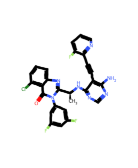 C[C@H](Nc1ncnc(N)c1C#Cc1ncccc1F)c1nc2cccc(Cl)c2c(=O)n1-c1cc(F)cc(F)c1